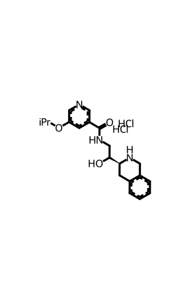 CC(C)Oc1cncc(C(=O)NCC(O)[C@@H]2Cc3ccccc3CN2)c1.Cl.Cl